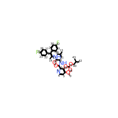 COc1ccnc(C(=O)N[C@@H](CC(C)C)C(=O)NC(C)=C(c2ccc(F)cc2)c2ccc(F)cc2)c1OC(=O)OCC(C)C